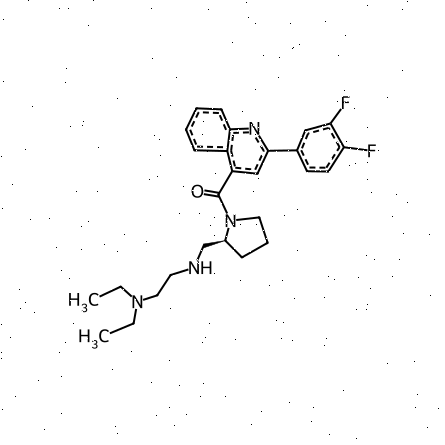 CCN(CC)CCNC[C@@H]1CCCN1C(=O)c1cc(-c2ccc(F)c(F)c2)nc2ccccc12